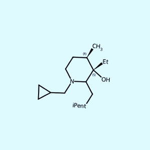 CCCC(C)CC1N(CC2CC2)CC[C@@H](C)[C@@]1(O)CC